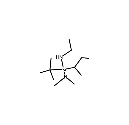 CCN[Si](C(C)CC)(N(C)C)C(C)(C)C